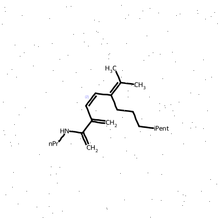 C=C(/C=C\C(CCCC(C)CCC)=C(C)C)C(=C)NCCC